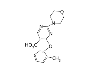 Cc1ccccc1Oc1nc(N2CCOCC2)ncc1C(=O)O